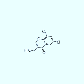 CCc1coc2c(Cl)cc(Cl)cc2c1=O